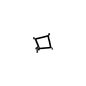 C1C[Si]C1